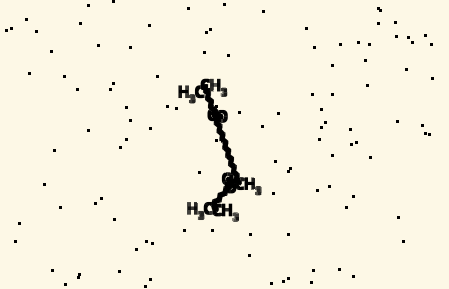 CC(C)CCCCCOC(=O)CCCCCCCCCCCCCCC(C)C(=O)OCCCCCC(C)C